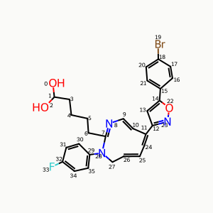 OC(O)CCCC/C1=N/C=C/C(c2cc(-c3ccc(Br)cc3)on2)=C\C=C\CN1c1ccc(F)cc1